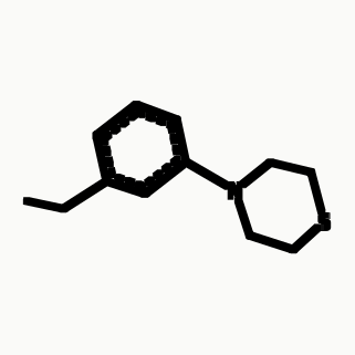 CCc1cccc(N2CCSCC2)c1